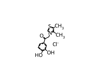 Cc1sc[n+](CC(=O)c2ccc(O)c(O)c2)c1C.[Cl-]